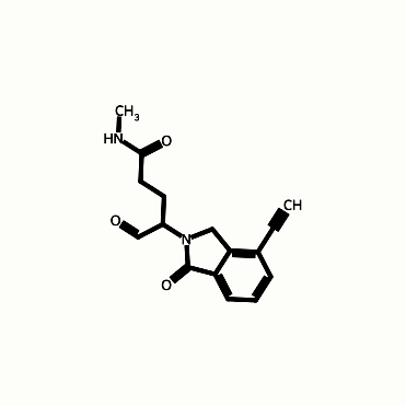 C#Cc1cccc2c1CN(C(C=O)CCC(=O)NC)C2=O